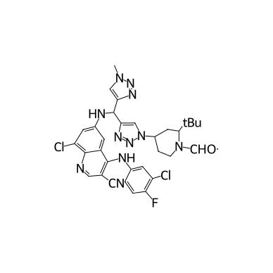 Cn1cc(C(Nc2cc(Cl)c3ncc(C#N)c(Nc4ccc(F)c(Cl)c4)c3c2)c2cn(C3CCN([C]=O)C(C(C)(C)C)C3)nn2)nn1